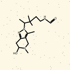 Cc1c2c(nn1C(C)C(C)(C)CCNC=O)CC(O)N(C)C2